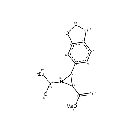 COC(=O)C1C(c2ccc3c(c2)OCO3)N1[S+]([O-])C(C)(C)C